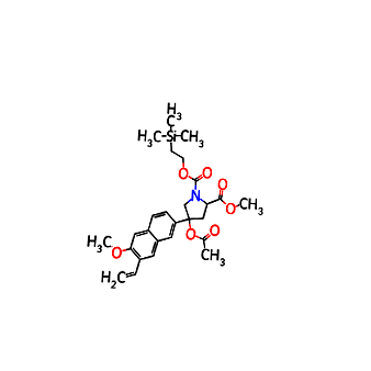 C=Cc1cc2cc(C3(OC(C)=O)CC(C(=O)OC)N(C(=O)OCC[Si](C)(C)C)C3)ccc2cc1OC